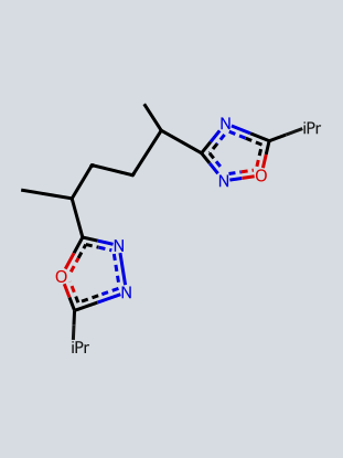 CC(C)c1nc(C(C)CCC(C)c2nnc(C(C)C)o2)no1